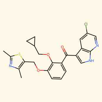 Cc1nc(C)c(COc2cccc(C(=O)c3c[nH]c4ncc(Cl)cc34)c2OCC2CC2)s1